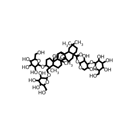 CC1(C)CCC2(C(=O)OC3OCC(O)C(OC4OC(CO)C(O)C(O)C4O)C3O)CCC3(C)C(=CCC4C5(C)CCC(OC6OC(CO)C(O)C(O)C6O)C(C)(COC6OC(CO)C(O)C(O)C6O)C5CCC43C)C2C1